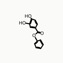 O=C(Oc1ccccc1)c1ccc(O)c(O)c1